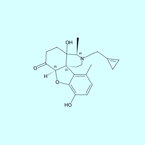 Cc1ccc(O)c2c1[C@]13CCN(CC4=CC4)[C@H](C)C1(O)CCC(=O)[C@@H]3O2